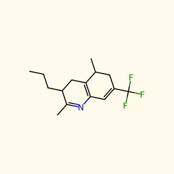 CCCC1CC2=C(C=C(C(F)(F)F)CC2C)N=C1C